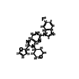 Fc1ccc2ncn(-c3ncc4nc(-c5ccco5)n(C5CCOCC5)c4n3)c2c1